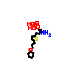 CC(N)(CCc1ccc(CCCOC2CCCCC2)s1)COP(=O)(O)O